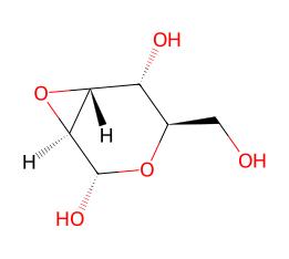 OC[C@H]1O[C@H](O)[C@H]2O[C@@H]2[C@@H]1O